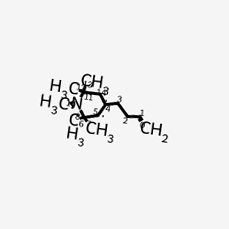 C=CCC[C]1[CH]C(C)(C)N(C)C(C)(C)C1